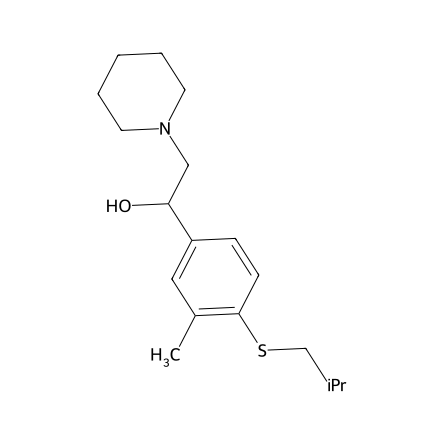 Cc1cc(C(O)CN2CCCCC2)ccc1SCC(C)C